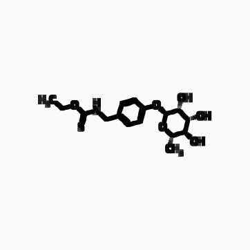 CCOC(=S)NCc1ccc(O[C@@H]2O[C@@H](C)[C@H](O)[C@@H](O)[C@H]2O)cc1